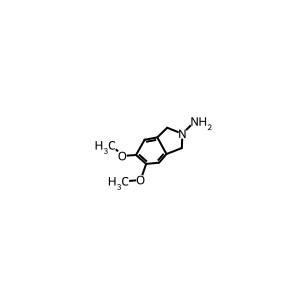 COc1cc2c(cc1OC)CN(N)C2